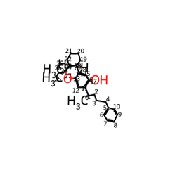 CC(CCCc1ccccc1)c1cc2c(cc1O)[C@@H]1CCCC[C@@H]1C(C)(C)O2